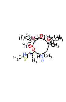 CC[Si](CC)(CC)OC1[C@@H](C)CCC[C@@]2(C)N[C@H]2C[C@@H](/C(C)=C/c2csc(C)n2)OC(=O)C[C@H](O[Si](CC)(CC)CC)C(C)(C)C(=O)[C@@H]1C